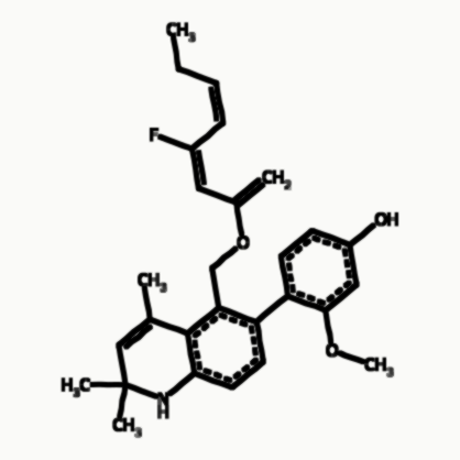 C=C(/C=C(F)\C=C/CC)OCc1c(-c2ccc(O)cc2OC)ccc2c1C(C)=CC(C)(C)N2